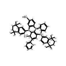 CCCCc1ccc2c(c1)N(c1ccc3c(c1)C(C)(C)CCC3(C)C)C1C3=C(C=C(c4ccccn4)C1CC)N(c1ccc4c(c1)C(C)(C)CCC4(C)C)c1ccccc1B32